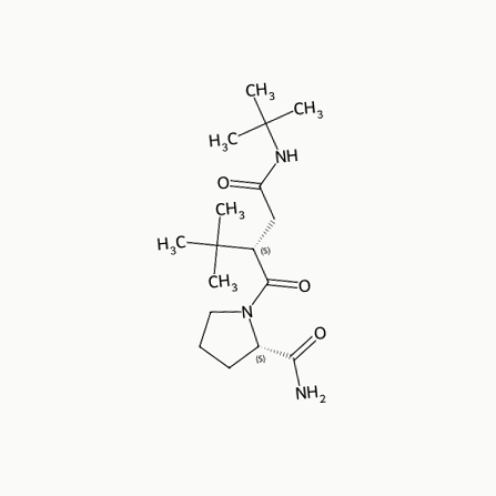 CC(C)(C)NC(=O)C[C@H](C(=O)N1CCC[C@H]1C(N)=O)C(C)(C)C